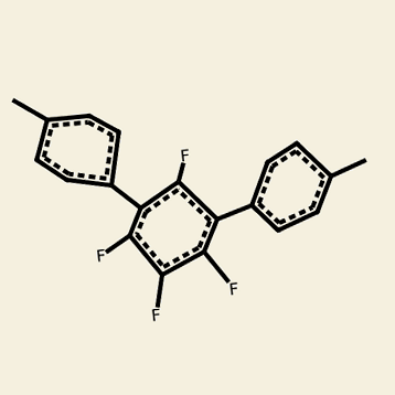 Cc1ccc(-c2c(F)c(F)c(F)c(-c3ccc(C)cc3)c2F)cc1